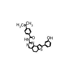 CN(C)c1ccc(C(=O)Nc2ncc3c(n2)-c2cc(-c4cccc(O)c4)sc2CC3)cc1